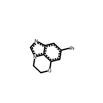 CC(C)c1cc2c3c(c1)ncn3CCO2